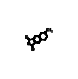 CN1CCc2cc3c(cc2C1)C(=O)OC3=O